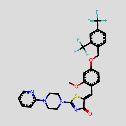 COc1cc(OCc2ccc(C(F)(F)F)cc2C(F)(F)F)ccc1C=C1SC(N2CCN(c3ccccn3)CC2)=NC1=O